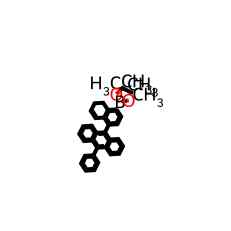 CC1(C)OB(c2ccc(-c3c4ccccc4c(-c4ccccc4)c4ccccc34)c3c2CCC=C3)OC1(C)C